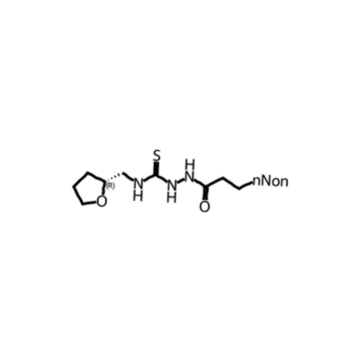 CCCCCCCCCCCC(=O)NNC(=S)NC[C@H]1CCCO1